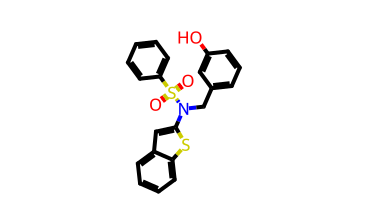 O=S(=O)(c1ccccc1)N(Cc1cccc(O)c1)c1cc2ccccc2s1